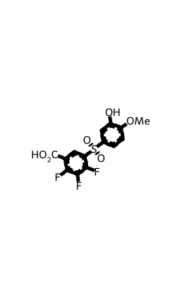 COc1ccc(S(=O)(=O)c2cc(C(=O)O)c(F)c(F)c2F)cc1O